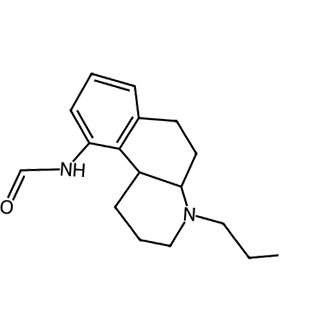 CCCN1CCCC2c3c(cccc3NC=O)CCC21